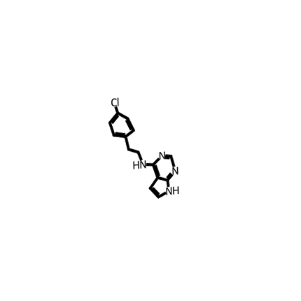 Clc1ccc(CCNc2ncnc3[nH]ccc23)cc1